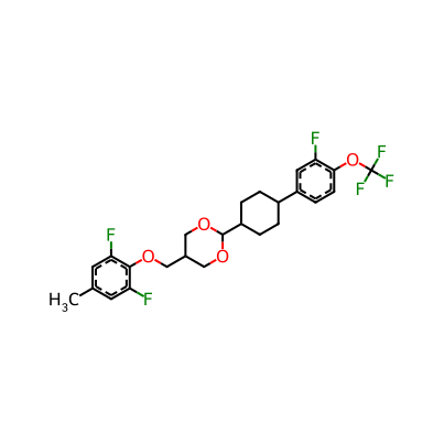 Cc1cc(F)c(OCC2COC(C3CCC(c4ccc(OC(F)(F)F)c(F)c4)CC3)OC2)c(F)c1